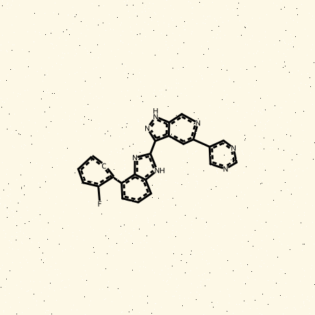 Fc1ccccc1-c1cccc2[nH]c(-c3n[nH]c4cnc(-c5cncnc5)cc34)nc12